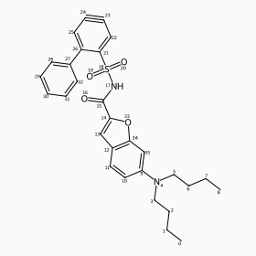 CCCCN(CCCC)c1ccc2cc(C(=O)NS(=O)(=O)c3cc#ccc3-c3ccccc3)oc2c1